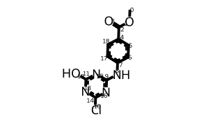 COC(=O)c1ccc(Nc2nc(O)nc(Cl)n2)cc1